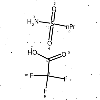 CCCS(N)(=O)=O.O=C(O)C(F)(F)F